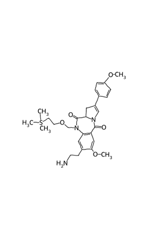 COc1ccc(C2=CN3C(=O)c4cc(OC)c(CCN)cc4N(COCCS(C)(C)C)C(=O)C3C2)cc1